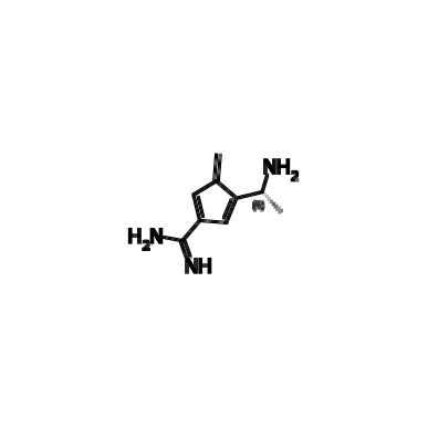 C=C1C=C(C(=N)N)C=C1[C@@H](C)N